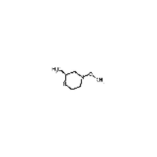 CON1CCN[C@@H](C)C1